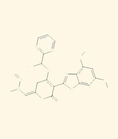 C=NN(C)/C=C1\CC(NC(C)c2ncccn2)=C(c2nc3c(OC)cc(OC)cc3[nH]2)C(=O)N1